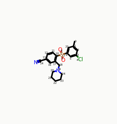 Cc1cc(Cl)cc(S(=O)(=O)c2ccc(C#N)cc2CN2CCCCC2)c1